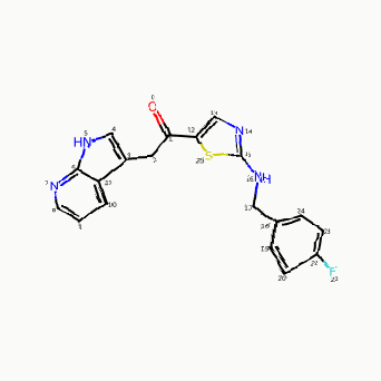 O=C(Cc1c[nH]c2ncccc12)c1cnc(NCc2ccc(F)cc2)s1